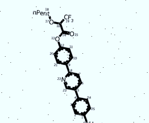 CCCCCCCc1ccc(-c2ccc(-c3ccc(OC(=O)C(OCCCCC)C(F)(F)F)cc3)nc2)cc1